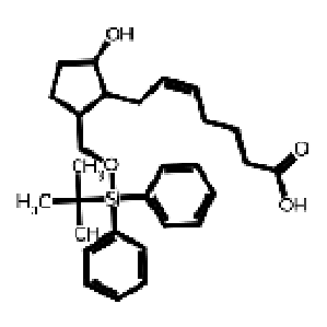 CC(C)(C)[Si](OCC1CCC(O)C1C/C=C\CCCC(=O)O)(c1ccccc1)c1ccccc1